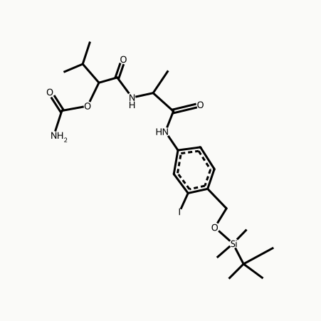 CC(NC(=O)C(OC(N)=O)C(C)C)C(=O)Nc1ccc(CO[Si](C)(C)C(C)(C)C)c(I)c1